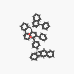 c1ccc(-c2cc(N(c3cc(-c4ccccc4)c4ccccc4c3)c3ccccc3-c3ccccc3)ccc2-c2ccc(-n3c4ccccc4c4cc5ccccc5cc43)cc2)cc1